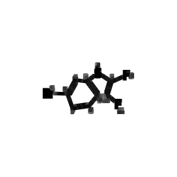 Fc1sc2cc(Br)ccc2c1F